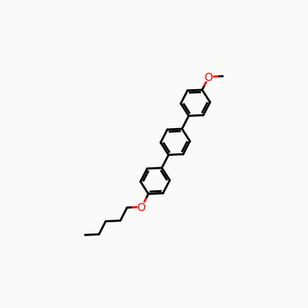 CCCCCOc1ccc(-c2ccc(-c3ccc(OC)cc3)cc2)cc1